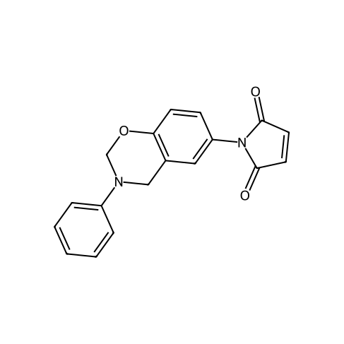 O=C1C=CC(=O)N1c1ccc2c(c1)CN(c1ccccc1)CO2